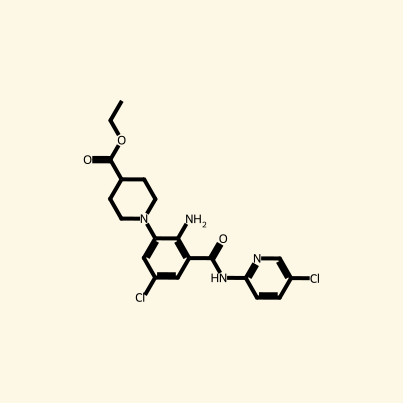 CCOC(=O)C1CCN(c2cc(Cl)cc(C(=O)Nc3ccc(Cl)cn3)c2N)CC1